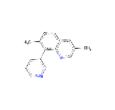 Cc1cnc2c(-c3cccnc3)c(C)ccc2c1